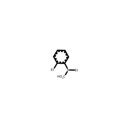 CCc1ccccc1N(CC)C(=O)O